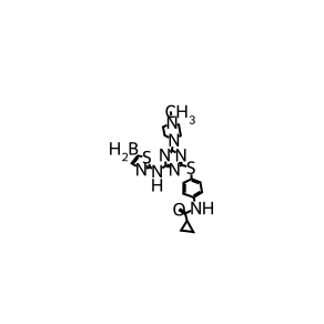 Bc1cnc(Nc2nc(Sc3ccc(NC(=O)C4CC4)cc3)nc(N3CCN(C)CC3)n2)s1